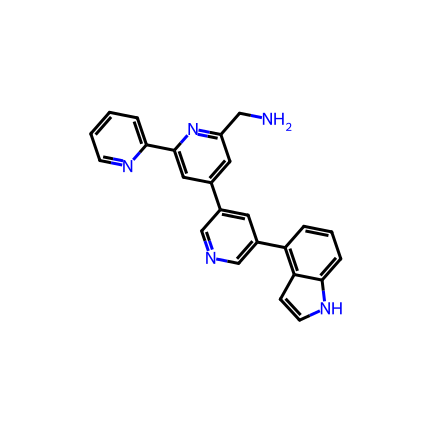 NCc1cc(-c2cncc(-c3cccc4[nH]ccc34)c2)cc(-c2ccccn2)n1